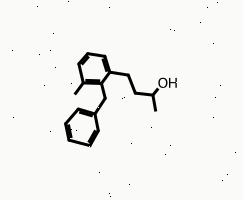 Cc1cccc(CCC(C)O)c1Cc1ccccc1